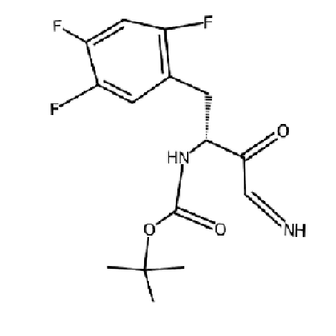 CC(C)(C)OC(=O)N[C@H](Cc1cc(F)c(F)cc1F)C(=O)C=N